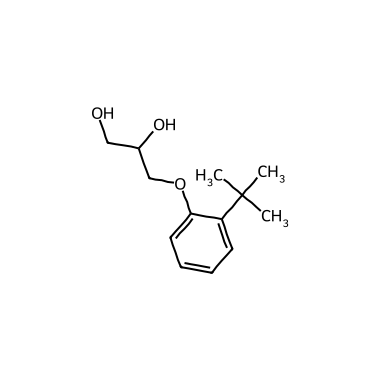 CC(C)(C)c1ccccc1OCC(O)CO